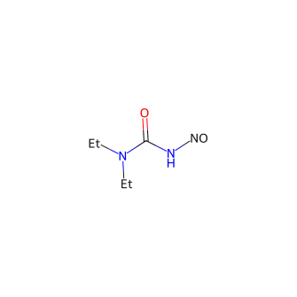 CCN(CC)C(=O)NN=O